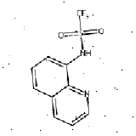 O=S(=O)(Nc1cccc2cccnc12)C(F)(F)F